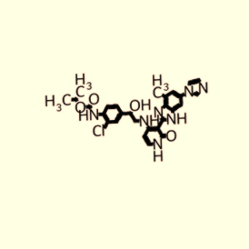 Cc1cc(-n2ccnc2)cc2[nH]c(-c3c(NCC(O)c4ccc(NC(=O)OC(C)C)c(Cl)c4)cc[nH]c3=O)nc12